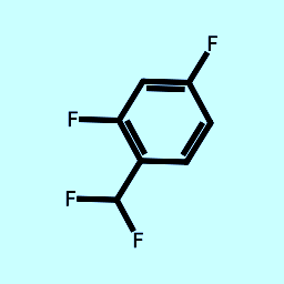 Fc1ccc(C(F)F)c(F)c1